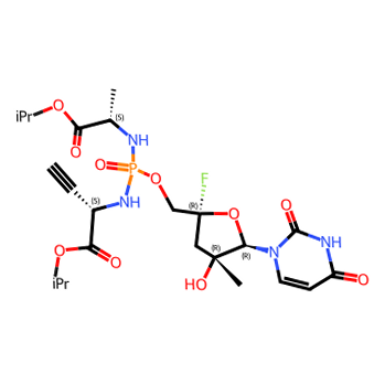 C#C[C@H](NP(=O)(N[C@@H](C)C(=O)OC(C)C)OC[C@]1(F)C[C@@](C)(O)[C@H](n2ccc(=O)[nH]c2=O)O1)C(=O)OC(C)C